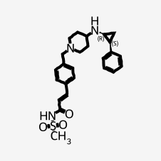 CS(=O)(=O)NC(=O)C=Cc1ccc(CN2CCC(N[C@@H]3C[C@H]3c3ccccc3)CC2)cc1